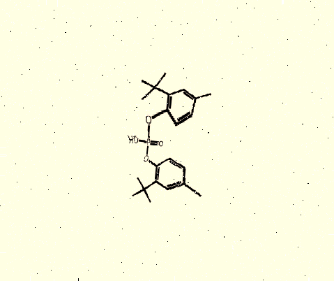 Cc1ccc(OP(=O)(O)Oc2ccc(C)cc2C(C)(C)C)c(C(C)(C)C)c1